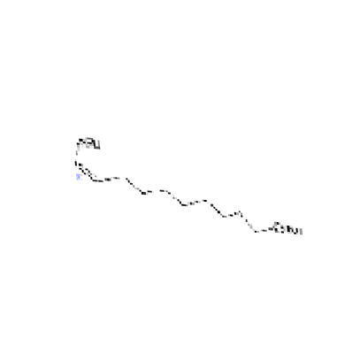 [CH2]C(C)COCCCCCCCC/C=C\CCCC